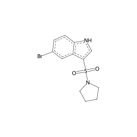 O=S(=O)(c1c[nH]c2ccc(Br)cc12)N1CCCC1